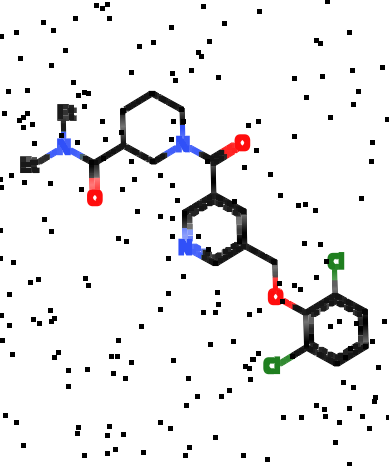 CCN(CC)C(=O)C1CCCN(C(=O)c2cncc(COc3c(Cl)cccc3Cl)c2)C1